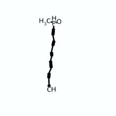 C#CC#CC#CC#CC#CC#C[PH](C)=O